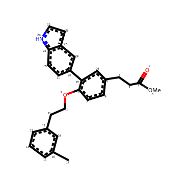 COC(=O)CCc1ccc(OCCc2cccc(C)c2)c(-c2ccc3[nH]ccc3c2)c1